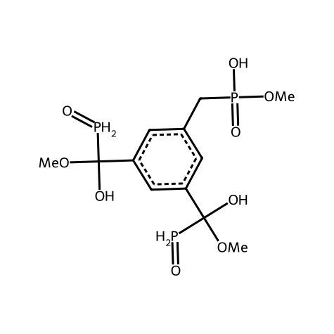 COC(O)([PH2]=O)c1cc(CP(=O)(O)OC)cc(C(O)(OC)[PH2]=O)c1